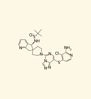 CC(C)(C)[S+]([O-])N[C@@H]1c2cccnc2CC12CCN(c1ncc(Sc3ccnc(N)c3Cl)c3nncn13)CC2